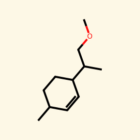 COCC(C)C1C=CC(C)CC1